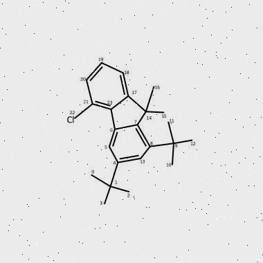 CC(C)(C)c1cc2c(c(C(C)(C)C)c1)C(C)(C)c1cccc(Cl)c1-2